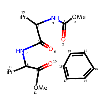 COC(=O)NC(C(=O)NC(C(=O)OC)C(C)C)C(C)C.c1ccccc1